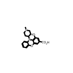 CN1CCC(N2c3ccccc3Oc3cc(C(=O)O)cc(O)c32)CC1